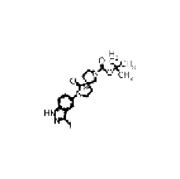 CC(C)(C)OC(=O)N1CC[C@]2(CCN(c3ccc4[nH]nc(I)c4c3)C2=O)C1